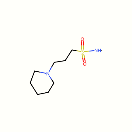 [NH]S(=O)(=O)CCCN1CCCCC1